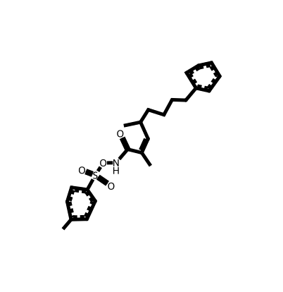 C/C(=C/C(C)CCCCc1ccccc1)C(=O)NOS(=O)(=O)c1ccc(C)cc1